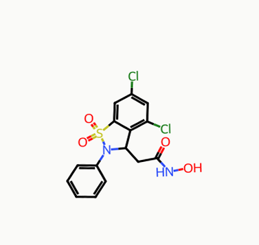 O=C(CC1c2c(Cl)cc(Cl)cc2S(=O)(=O)N1c1ccccc1)NO